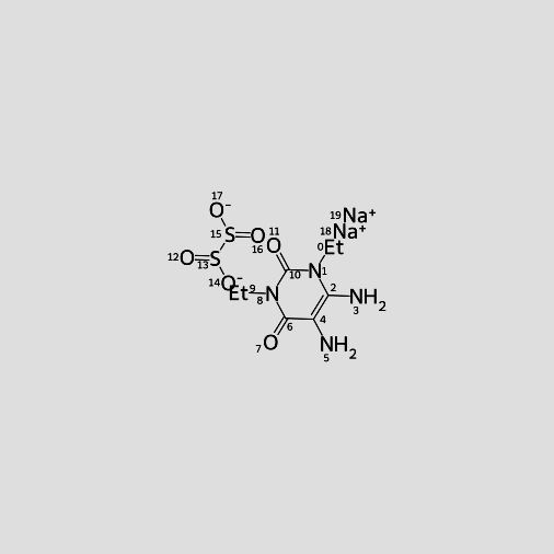 CCn1c(N)c(N)c(=O)n(CC)c1=O.O=S([O-])S(=O)[O-].[Na+].[Na+]